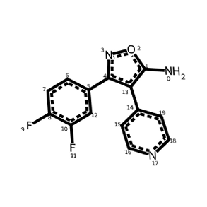 Nc1onc(-c2ccc(F)c(F)c2)c1-c1ccncc1